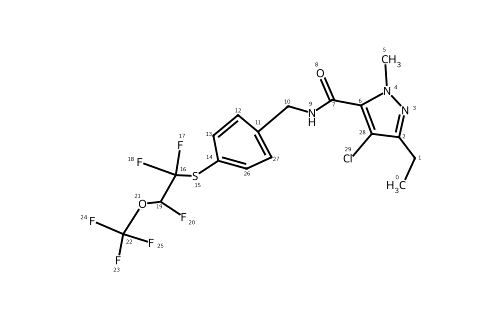 CCc1nn(C)c(C(=O)NCc2ccc(SC(F)(F)C(F)OC(F)(F)F)cc2)c1Cl